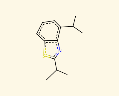 CC(C)c1nc2c(C(C)C)cccc2s1